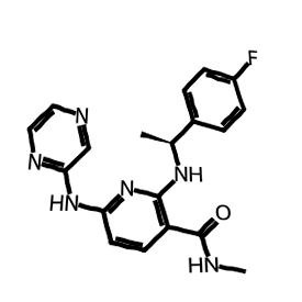 CNC(=O)c1ccc(Nc2cnccn2)nc1N[C@@H](C)c1ccc(F)cc1